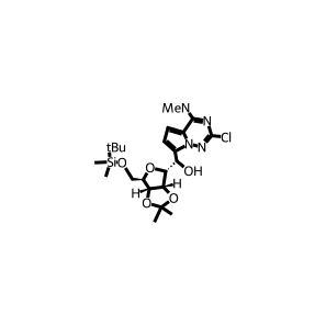 CNc1nc(Cl)nn2c(C(O)[C@H]3O[C@H](CO[Si](C)(C)C(C)(C)C)[C@H]4OC(C)(C)O[C@H]43)ccc12